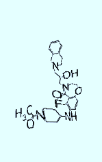 CC(=O)N1CCC(Nc2ccc3c(c2F)C(=O)N(C[C@@H](O)CN2CCc4ccccc4C2)CCO3)CC1